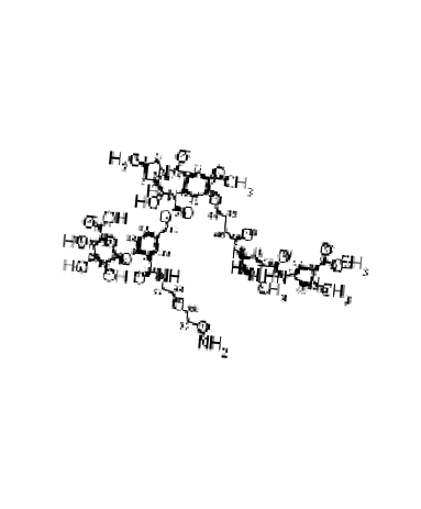 C=C1C[C@H]2C(O)N(C(=O)OCc3ccc(O[C@@H]4O[C@H](C(=O)O)[C@@H](O)[C@H](O)[C@H]4O)c(C(=O)NCCOCCON)c3)c3cc(OCCCC(=O)Nc4cc(C(=O)Nc5cc(C(=O)OC)n(C)c5)n(C)c4)c(OC)cc3C(=O)N2C1